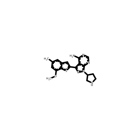 COc1cc(C)cc2cc(-c3nn(C4CCNC4)c4ncnc(N)c34)sc12